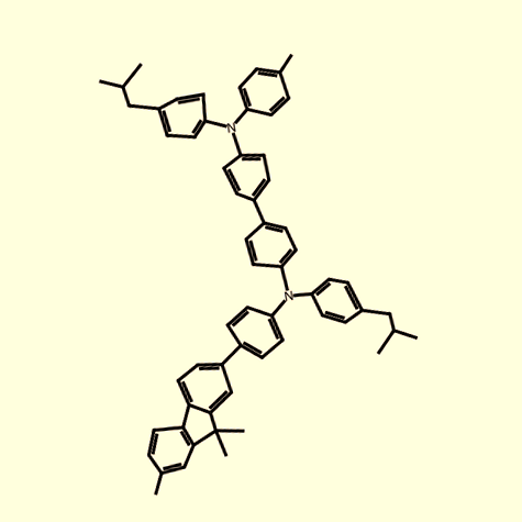 Cc1ccc(N(c2ccc(CC(C)C)cc2)c2ccc(-c3ccc(N(c4ccc(CC(C)C)cc4)c4ccc(-c5ccc6c(c5)C(C)(C)c5cc(C)ccc5-6)cc4)cc3)cc2)cc1